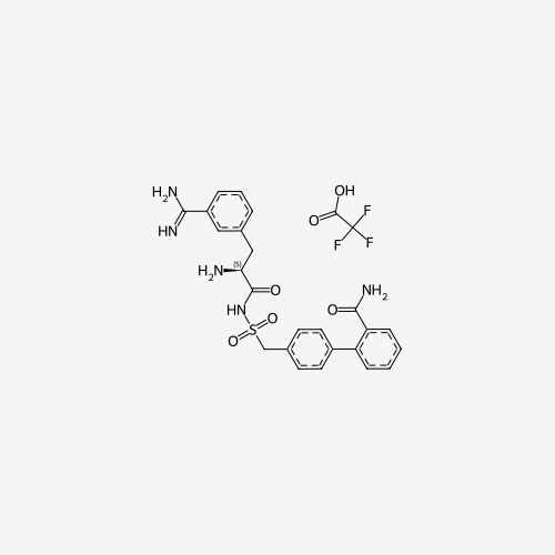 N=C(N)c1cccc(C[C@H](N)C(=O)NS(=O)(=O)Cc2ccc(-c3ccccc3C(N)=O)cc2)c1.O=C(O)C(F)(F)F